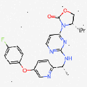 CC(C)[C@H]1COC(=O)N1c1ccnc(N[C@H](C)c2ccc(Oc3ccc(F)cc3)cn2)n1